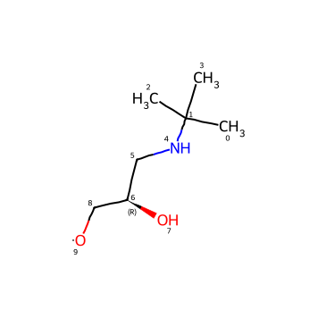 CC(C)(C)NC[C@@H](O)C[O]